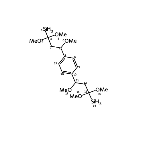 COC(CC([SiH3])(OC)OC)c1ccc(C(CC([SiH3])(OC)OC)OC)cc1